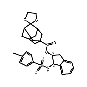 Cc1ccc(S(=O)(=O)N[C@@H]2c3ccccc3C[C@@H]2OS(=O)C23CC4CC(C2)C2(OCCO2)C(C4)C3)cc1